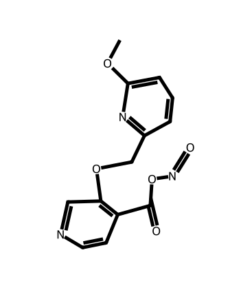 COc1cccc(COc2cnccc2C(=O)ON=O)n1